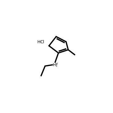 C[CH2][Hf][C]1=C(C)C=CC1.Cl